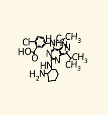 CC(C)c1nn(C(C)C)c2c(Nc3ccc(Cl)c(C(=O)O)c3)nc(NC3CCCCC3N)nc12